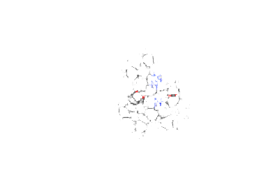 CC1(C)c2ccccc2-c2c(N(c3cccc4c3-c3ccccc3C43c4ccccc4-c4ccccc43)c3c(-c4ccccc4)n4nc(-c5ccccc5)c(-c5ccccc5)c4c4ccccc34)cccc21